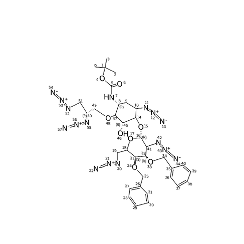 CC(C)(C)OC(=O)N[C@@H]1CC(N=[N+]=[N-])C(O[C@H]2OC(CN=[N+]=[N-])[C@H](OCc3ccccc3)[C@H](OCc3ccccc3)C2N=[N+]=[N-])[C@H](O)C1OC[C@@H](CN=[N+]=[N-])N=[N+]=[N-]